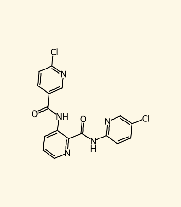 O=C(Nc1cccnc1C(=O)Nc1ccc(Cl)cn1)c1ccc(Cl)nc1